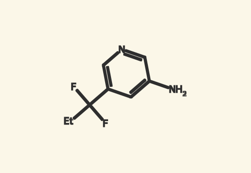 CCC(F)(F)c1cncc(N)c1